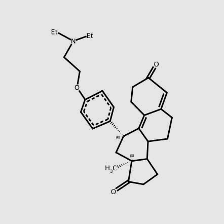 CCN(CC)CCOc1ccc([C@H]2C[C@]3(C)C(=O)CCC3C3CCC4=CC(=O)CCC4=C32)cc1